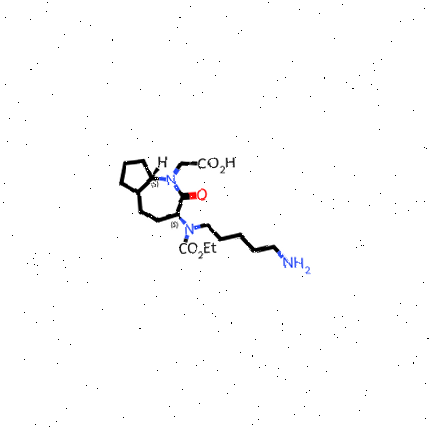 CCOC(=O)N(CCCCCN)[C@H]1CCC2CCC[C@@H]2N(CC(=O)O)C1=O